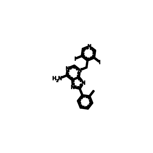 Cc1ccccc1-c1nc2c(N)ncn(Cc3c(I)cncc3I)c-2n1